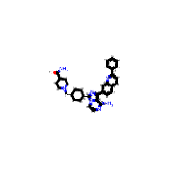 NC(=O)C1CCN(C[C@H]2CC[C@H](c3nc(-c4ccc5ccc(-c6ccccc6)nc5c4)c4c(N)nccn43)CC2)CC1